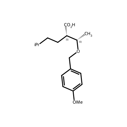 COc1ccc(CO[C@@H](C)[C@H](CCC(C)C)C(=O)O)cc1